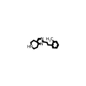 Cc1ccccc1CCc1ncc2c(n1)CCNCC2